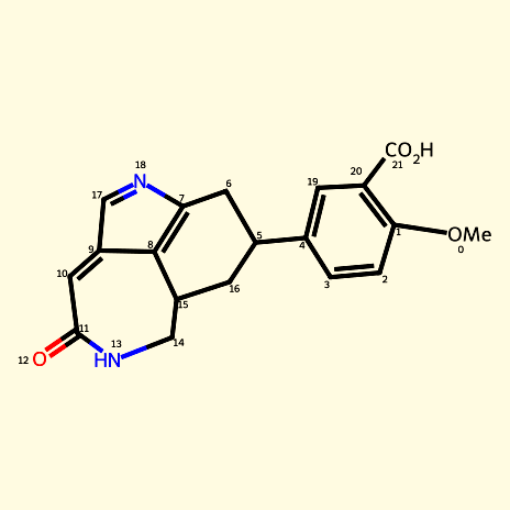 COc1ccc(C2CC3=C4C(=CC(=O)NCC4C2)C=N3)cc1C(=O)O